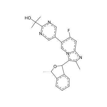 Cc1nc2cc(F)c(-c3cnc(C(C)(C)O)nc3)cn2c1C1O[C@@H](C)c2ccccc21